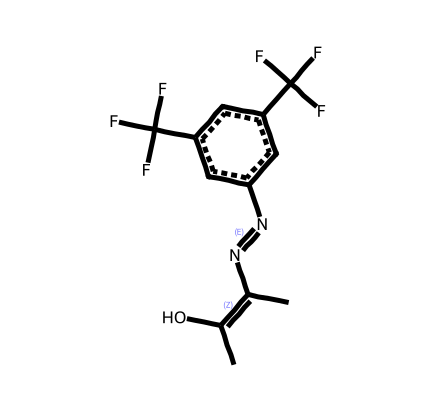 C/C(O)=C(C)/N=N/c1cc(C(F)(F)F)cc(C(F)(F)F)c1